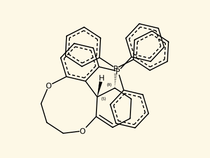 C1=C2OCCCOc3cccc(P(c4ccccc4)c4ccccc4)c3[C@@H]2[C@H](P(c2ccccc2)c2ccccc2)CC1